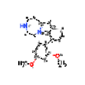 COc1ccc(-c2cccc3cc4n(c23)CCNCC4)c(OC)c1